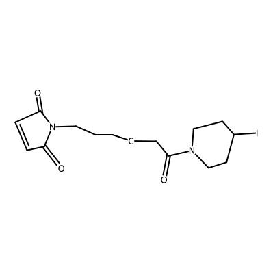 O=C(CCCCCN1C(=O)C=CC1=O)N1CCC(I)CC1